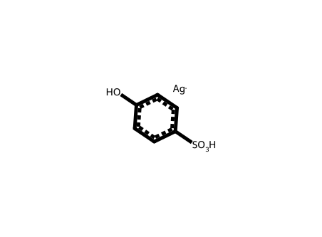 O=S(=O)(O)c1ccc(O)cc1.[Ag]